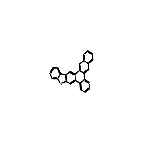 c1ccc2cc3c(cc2c1)c1cc2c(cc1c1cccnc13)sc1ccccc12